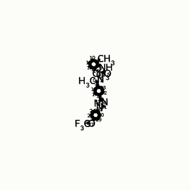 C/C(=N\OC(=O)Nc1c(C)cccc1C)c1ccc(-c2ncn(-c3ccc(OC(F)(F)F)cc3)n2)cc1